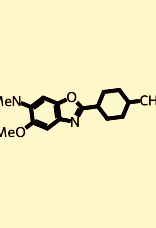 CNc1cc2oc(C3CCC(C)CC3)nc2cc1OC